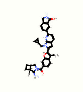 Cc1c(-c2cc3ccc(-c4ccc5c(c4)C(=O)NC5)nc3n2CC2CC2)oc2cc(C(=O)N3CC4CC[C@H]4C3N)ccc12